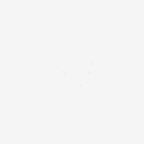 CC(C)(O)CNc1cc(-c2ccc(F)cc2)nn2cc(-c3ccc(C=O)cc3)nc12